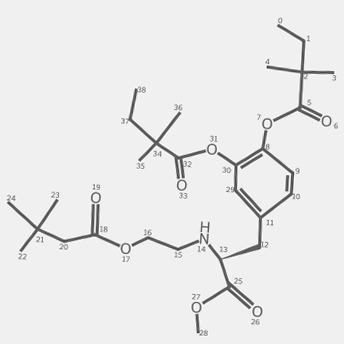 CCC(C)(C)C(=O)Oc1ccc(C[C@H](NCCOC(=O)CC(C)(C)C)C(=O)OC)cc1OC(=O)C(C)(C)CC